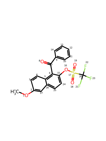 COc1ccc2c(C(=O)c3ccccc3)c(OS(=O)(=O)C(F)(F)F)ccc2c1